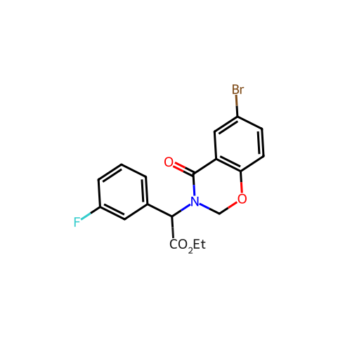 CCOC(=O)C(c1cccc(F)c1)N1COc2ccc(Br)cc2C1=O